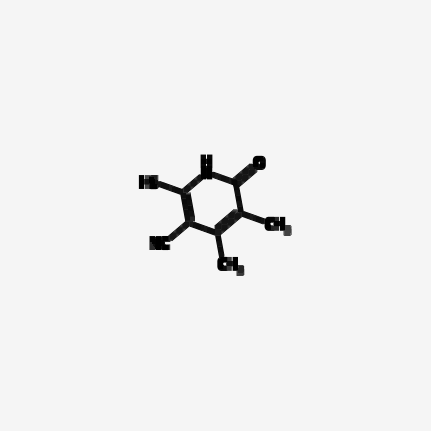 Cc1c(C#N)c(S)[nH]c(=O)c1C